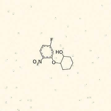 O=[N+]([O-])c1ccc(F)cc1OC1CCCCC1O